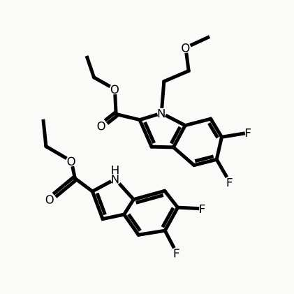 CCOC(=O)c1cc2cc(F)c(F)cc2[nH]1.CCOC(=O)c1cc2cc(F)c(F)cc2n1CCOC